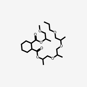 CCCOCC(C)OCC(C)OCC(C)OC(=O)C1CCCCC1C(=O)OC(C)COC